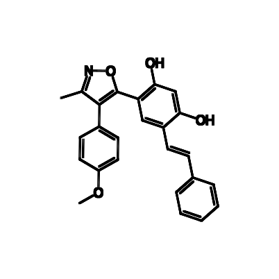 COc1ccc(-c2c(C)noc2-c2cc(C=Cc3ccccc3)c(O)cc2O)cc1